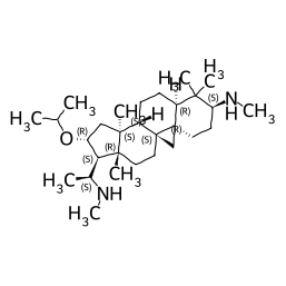 CN[C@@H](C)[C@H]1[C@H](OC(C)C)C[C@@]2(C)[C@@H]3CC[C@H]4C(C)(C)[C@@H](NC)CC[C@@]45C[C@@]35CC[C@]12C